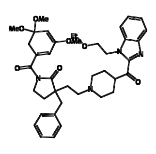 CCOCCn1c(C(=O)C2CCN(CCC3(Cc4ccccc4)CCN(C(=O)C4=CC(OC)=CC(OC)(OC)C4)C3=O)CC2)nc2ccccc21